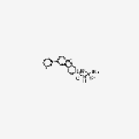 CC(C)C(NS(=O)(=O)c1ccc2c(c1)oc1ccc(-c3cccnc3)cc12)(C(=O)O)C(C)(C)C